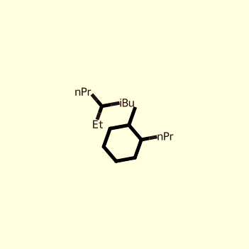 CCCC(CC)C(C)CC.CCCC1CCCCC1C